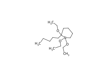 CCCCCC1(OCC)CCCC[Si]1(OCC)OCC